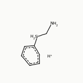 NC[SiH2]c1ccccc1.[H+]